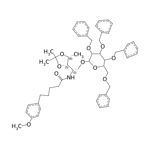 COc1ccc(CCCCC(=O)N[C@@H](COC2OC(COCc3ccccc3)C(OCc3ccccc3)C(OCc3ccccc3)C2OCc2ccccc2)[C@@H]2OC(C)(C)O[C@@H]2C)cc1